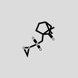 CC1(C)C2CCC1(CS(=O)(=O)N1CO1)C(=O)C2